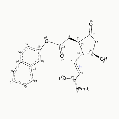 CCCCC[C@H](O)/C=C/[C@H]1[C@H](O)CC(=O)[C@@H]1CC(=O)Oc1ccc2ccccc2c1